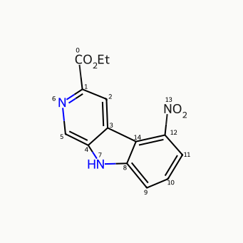 CCOC(=O)c1cc2c(cn1)[nH]c1cccc([N+](=O)[O-])c12